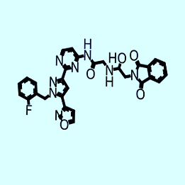 O=C(CNC(O)CN1C(=O)c2ccccc2C1=O)Nc1ccnc(-c2cc(-c3ccon3)n(Cc3ccccc3F)n2)n1